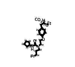 CCOC(Cc1ccc(OCCN(CCCC(C)C)C(=O)NC2CCCC2)cc1)C(=O)O